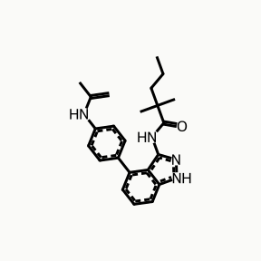 C=C(C)Nc1ccc(-c2cccc3[nH]nc(NC(=O)C(C)(C)CCC)c23)cc1